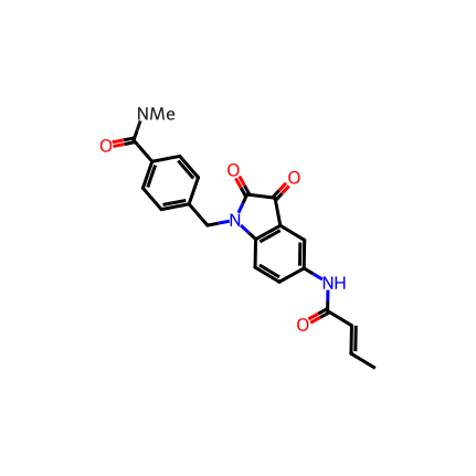 CC=CC(=O)Nc1ccc2c(c1)C(=O)C(=O)N2Cc1ccc(C(=O)NC)cc1